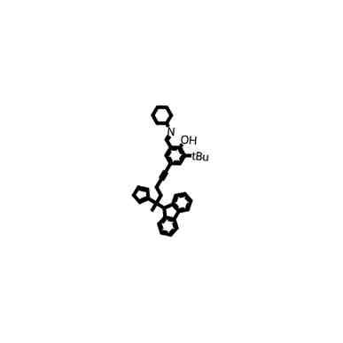 CC(C)(C)c1cc(C#CCCC(C)(C2=CCC=C2)C2c3ccccc3-c3ccccc32)cc(/C=N/C2CCCCC2)c1O